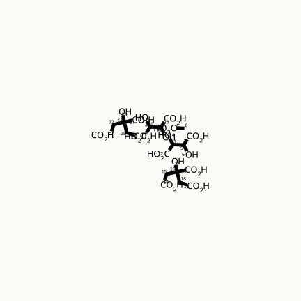 CC(=O)O.O=C(O)C(O)C(O)C(=O)O.O=C(O)C(O)C(O)C(=O)O.O=C(O)CC(O)(CC(=O)O)C(=O)O.O=C(O)CC(O)(CC(=O)O)C(=O)O